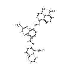 Nc1ccc(N=Nc2ccc(N=Nc3ccc4ccccc4c3S(=O)(=O)O)c3ccc(S(=O)(=O)O)cc23)c2cccc(S(=O)(=O)O)c12